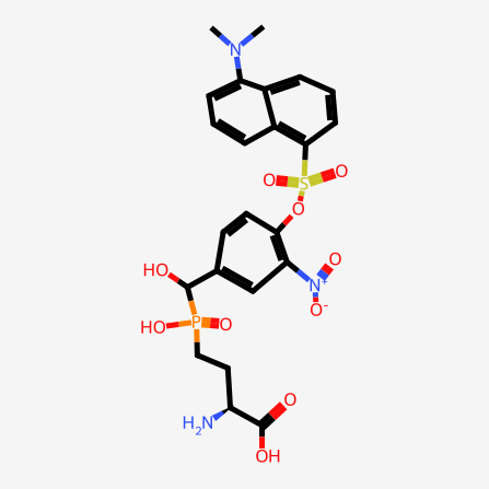 CN(C)c1cccc2c(S(=O)(=O)Oc3ccc(C(O)P(=O)(O)CC[C@H](N)C(=O)O)cc3[N+](=O)[O-])cccc12